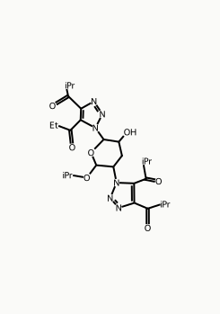 CCC(=O)c1c(C(=O)C(C)C)nnn1C1OC(OC(C)C)C(n2nnc(C(=O)C(C)C)c2C(=O)C(C)C)CC1O